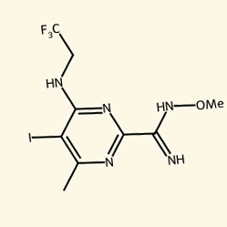 CONC(=N)c1nc(C)c(I)c(NCC(F)(F)F)n1